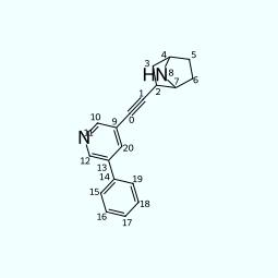 C(#CC1CC2CCC1N2)c1cncc(-c2ccccc2)c1